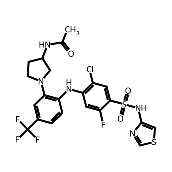 CC(=O)NC1CCN(c2cc(C(F)(F)F)ccc2Nc2cc(F)c(S(=O)(=O)Nc3cscn3)cc2Cl)C1